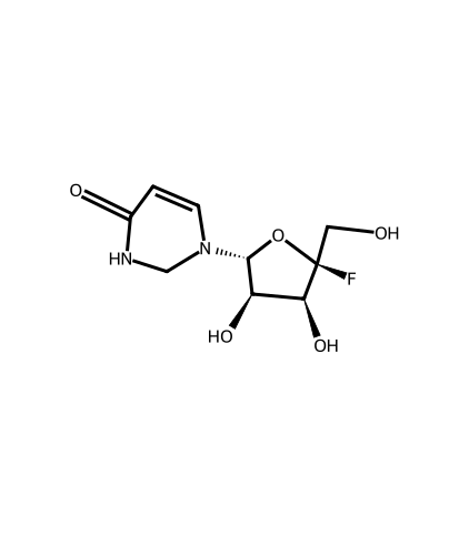 O=C1C=CN([C@@H]2O[C@](F)(CO)[C@@H](O)[C@H]2O)CN1